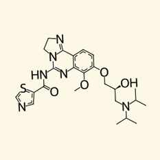 COc1c(OC[C@@H](O)CN(C(C)C)C(C)C)ccc2c1N=C(NC(=O)c1cncs1)N1CCN=C21